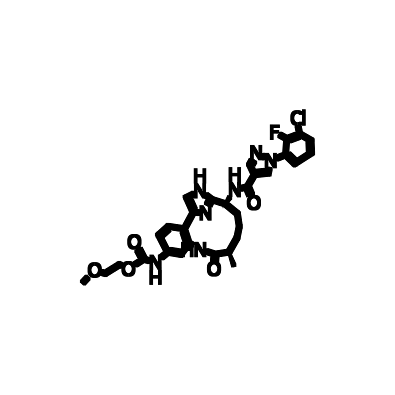 COCCOC(=O)Nc1ccc2c(c1)NC(=O)[C@H](C)CCC[C@H](NC(=O)c1cnn(-c3cccc(Cl)c3F)c1)c1nc-2c[nH]1